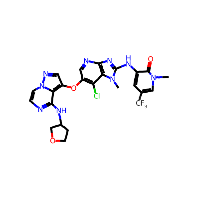 Cn1cc(C(F)(F)F)cc(Nc2nc3ncc(Oc4cnn5ccnc(NC6CCOC6)c45)c(Cl)c3n2C)c1=O